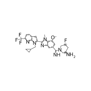 COc1cc(C(=N)N2C[C@H](N)C[C@@H](F)C2)cc2nc(-c3cc4ccc(C(F)(F)F)nc4n3CC3CC3)n(C)c12